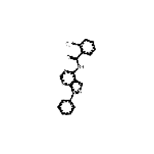 O=C(Nc1ncnc2c1cnn2-c1ccccc1)c1ccccc1[N+](=O)[O-]